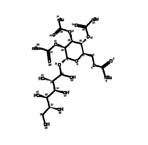 CCCCC(=O)OC[C@H]1O[C@H](OC(O)[C@@H](O)[C@@H](O)[C@H](O)[C@H](O)CO)[C@@H](OC(=O)CCCC)[C@@H](OC(=O)CCCC)[C@@H]1OC(=O)CCCC